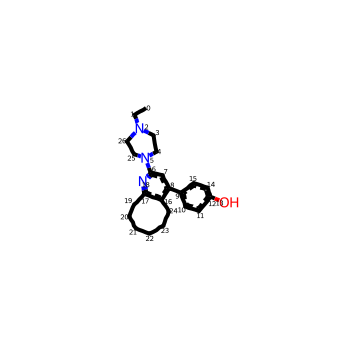 CCN1CCN(c2cc(-c3ccc(O)cc3)c3c(n2)CCCCCC3)CC1